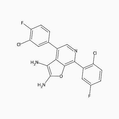 Nc1oc2c(-c3cc(F)ccc3Cl)ncc(-c3ccc(F)c(Cl)c3)c2c1N